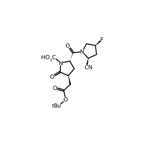 CC(C)(C)OC(=O)C[C@@H]1C[C@@H](C(=O)N2C[C@@H](F)C[C@H]2C#N)N(C(=O)O)C1=O